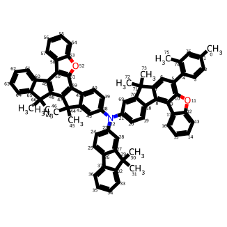 Cc1ccc(-c2cc3c(c4c2oc2ccccc24)-c2ccc(N(c4ccc5c(c4)C(C)(C)c4ccccc4-5)c4ccc5c(c4)C(C)(C)c4c6c(c7c(oc8ccccc87)c4-5)-c4ccccc4C6(C)C)cc2C3(C)C)c(C)c1